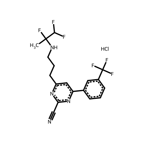 CC(F)(NCCCc1cc(-c2cccc(C(F)(F)F)c2)nc(C#N)n1)C(F)F.Cl